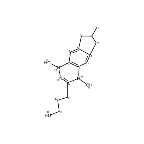 CC1Cc2cc3c(cc2C1)N(O)C(CCCO)=NN3O